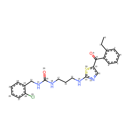 CCc1ccccc1C(=O)c1cnc(NCCCNC(=O)NCc2ccccc2Cl)s1